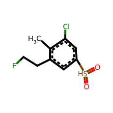 Cc1c(Cl)cc([SH](=O)=O)cc1CCF